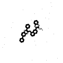 Cc1nc2ccccc2nc1-c1ccc2cccc(Cc3nc4cc(-c5ccccc5)ccc4nc3-c3ccccc3)c2c1